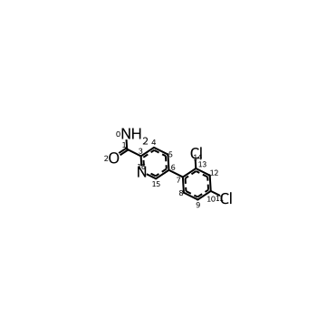 NC(=O)c1ccc(-c2ccc(Cl)cc2Cl)cn1